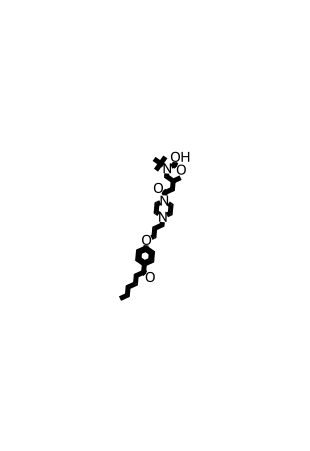 CCCCCC(=O)c1ccc(OCCCN2CCN(C(=O)CC(C)CN(C(=O)O)C(C)(C)C)CC2)cc1